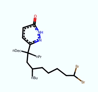 CCCCCCCCCCC(CCC)(CC(CCCC)CCCCC(Br)Br)c1ccc(=O)[nH]n1